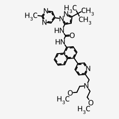 COCCN(CCOC)Cc1ccc(-c2ccc(NC(=O)Nc3cc(C(C)(C)C)nn3-c3cnc(C)nc3)c3ccccc23)cn1